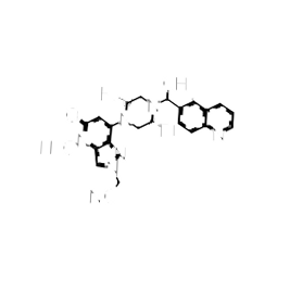 CC[C@H]1CN(C(C)c2ccc3ncccc3c2)[C@H](CC)CN1c1cc(=O)n(C)c2cn(CC#N)nc12